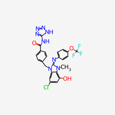 Cn1c(=Nc2ccc(OC(F)(F)F)cc2)n(Cc2ccc(C(=O)Nc3nnn[nH]3)cc2)c2cc(Cl)cc(O)c21